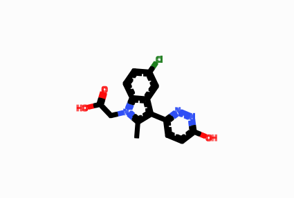 Cc1c(-c2ccc(O)nn2)c2cc(Cl)ccc2n1CC(=O)O